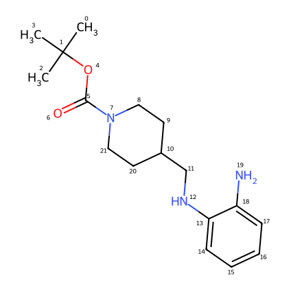 CC(C)(C)OC(=O)N1CCC(CNc2ccccc2N)CC1